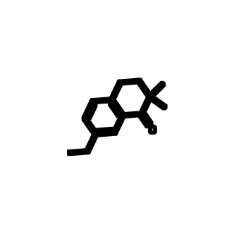 CCc1ccc2c(c1)C(=O)C(C)(C)CC2